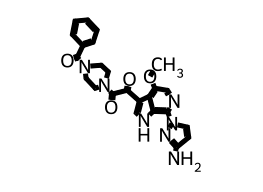 COc1cnc(-n2ccc(N)n2)c2[nH]cc(C(=O)C(=O)N3CCN(C(=O)c4ccccc4)CC3)c12